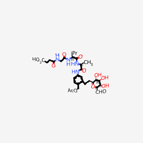 CC(=O)OCc1ccc(NC(=O)[C@H](C)NC(=O)[C@@H](NC(=O)CNC(=O)CCC(=O)O)C(C)C)cc1CC[C@@H]1O[C@H](C=O)[C@@H](O)[C@H](O)[C@H]1O